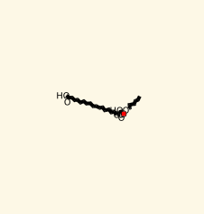 CCCCCCOOP(=O)(O)OCCCCCCCCCCCCCCCC(=O)O